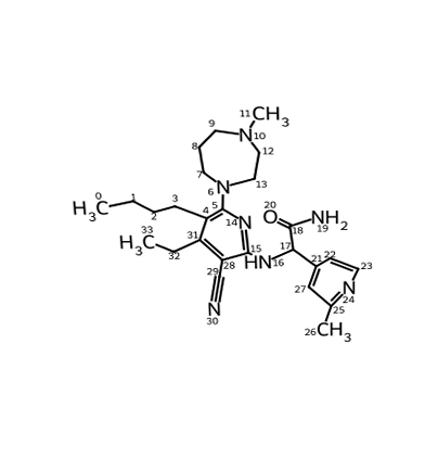 CCCCc1c(N2CCCN(C)CC2)nc(NC(C(N)=O)c2ccnc(C)c2)c(C#N)c1CC